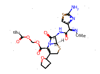 CO/N=C(\C(=O)N[C@@H]1C(=O)N2C(C(=O)OCOC(=O)C(C)(C)C)=C(C3CCCO3)CS[C@H]12)c1csc(N)n1